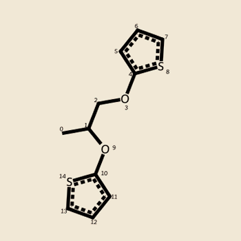 CC(COc1cccs1)Oc1cccs1